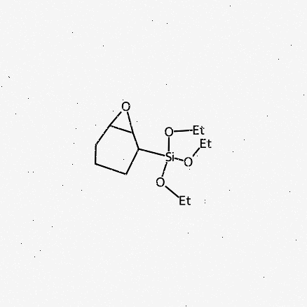 CCO[Si](OCC)(OCC)C1CCCC2OC21